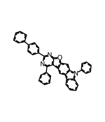 c1ccc(-c2ccc(-c3nc(-c4ccccc4)c4c(n3)oc3cc5c(cc34)c3ccccc3n5-c3ccccc3)cc2)cc1